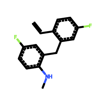 C=Cc1ccc(F)cc1Cc1cc(F)ccc1NC